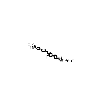 CCCCCC1CCC(C2CCC(c3ccc(CCC4CCC(C5CCC(/C(F)=C/C(F)(F)F)CC5)CC4)c(F)c3)CC2)OC1